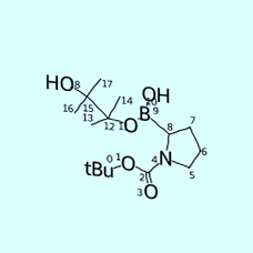 CC(C)(C)OC(=O)N1CCCC1B(O)OC(C)(C)C(C)(C)O